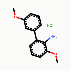 COc1cccc(-c2cccc(OC)c2N)c1.Cl